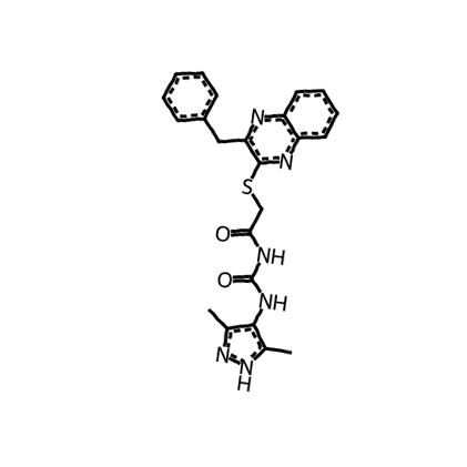 Cc1n[nH]c(C)c1NC(=O)NC(=O)CSc1nc2ccccc2nc1Cc1ccccc1